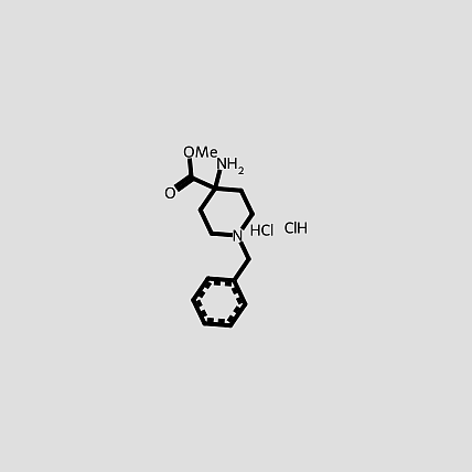 COC(=O)C1(N)CCN(Cc2ccccc2)CC1.Cl.Cl